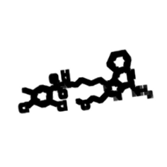 COCCc1nc2c(N)nc3ccccc3c2n1CCCCNS(=O)(=O)c1cc(C)c(Cl)cc1Cl